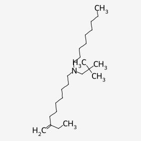 C=C(CC)CCCCCCCN(CCCCCCCCC)CC(C)(C)C